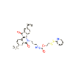 CSc1ccc2c(c1)C(=O)c1c-2n(CCCNC(=O)OCCSSc2ccccn2)c(=O)c2cc([N+](=O)[O-])ccc12